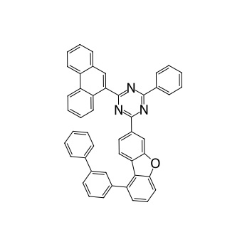 c1ccc(-c2cccc(-c3cccc4oc5cc(-c6nc(-c7ccccc7)nc(-c7cc8ccccc8c8ccccc78)n6)ccc5c34)c2)cc1